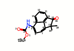 CC(C)(C)OC(=O)Nc1ccc2c3c(cccc13)C(=O)C2(C)C